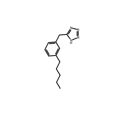 CCCCCc1cccc(Cc2nnn[nH]2)c1